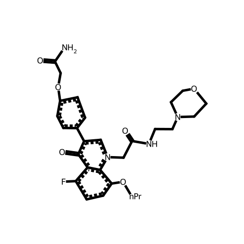 CCCOc1ccc(F)c2c(=O)c(-c3ccc(OCC(N)=O)cc3)cn(CC(=O)NCCN3CCOCC3)c12